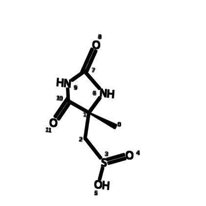 C[C@]1(CS(=O)O)NC(=O)NC1=O